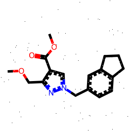 COCc1nn(Cc2ccc3c(c2)CCC3)cc1C(=O)OC